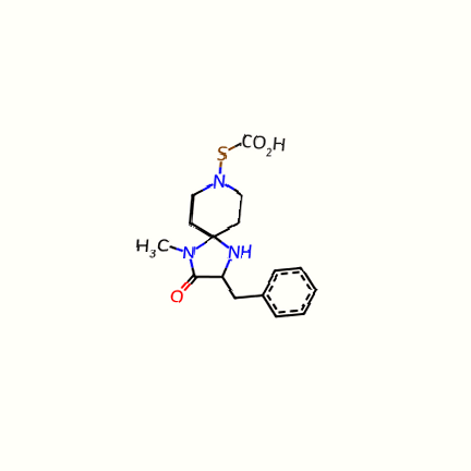 CN1C(=O)C(Cc2ccccc2)NC12CCN(SC(=O)O)CC2